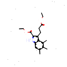 CCOC(=O)CCc1c(C(=O)OCC)[nH]c2cc(C)c(C)c(C)c12